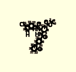 CC(C)(C)OC(=O)N1CCC(NC(=O)c2ccc(-n3ccccc3=O)cc2)C(NC(=O)c2ccc3c(Cl)c[nH]c3c2)C1